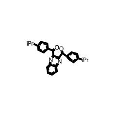 CC(C)c1ccc(C(=O)c2nc3ccccc3nc2C(=O)c2ccc(C(C)C)cc2)cc1